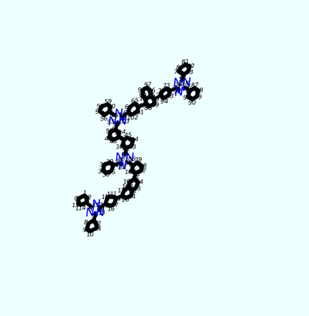 c1ccc(-c2nc(-c3ccccc3)nc(-c3ccc(-c4ccc5ccc(-c6cccc(-c7nc(-c8ccccc8)nc(-c8cccc(-c9cccc(-c%10nc(-c%11ccccc%11)nc(-c%11ccc(-c%12ccc(-c%13ccc(-c%14nc(-c%15ccccc%15)nc(-c%15ccccc%15)n%14)cc%13)c%13ccccc%12%13)cc%11)n%10)c9)c8)n7)c6)cc5c4)cc3)n2)cc1